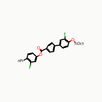 CCCCCCCCOc1ccc(-c2ccc(C(=O)Oc3ccc(CCC)c(F)c3)cc2)cc1F